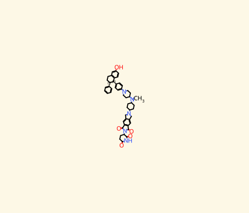 CN(C1CCC(N2Cc3cc4c(cc3C2)C(=O)N(C2CCC(=O)NC2=O)C4=O)CC1)C1CCN(c2ccc([C@@H]3c4ccc(O)cc4CC[C@@H]3c3ccccc3)cc2)CC1